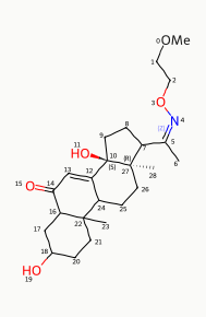 COCCO/N=C(/C)C1CC[C@@]2(O)C3=CC(=O)C4CC(O)CCC4(C)C3CC[C@]12C